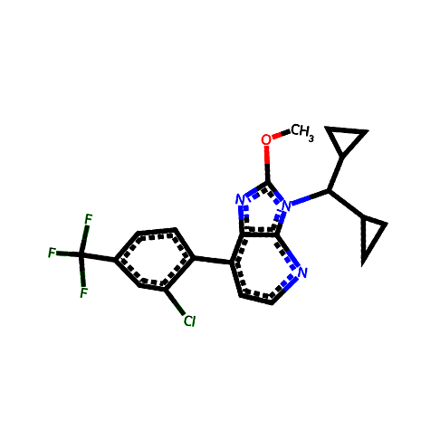 COc1nc2c(-c3ccc(C(F)(F)F)cc3Cl)ccnc2n1C(C1CC1)C1CC1